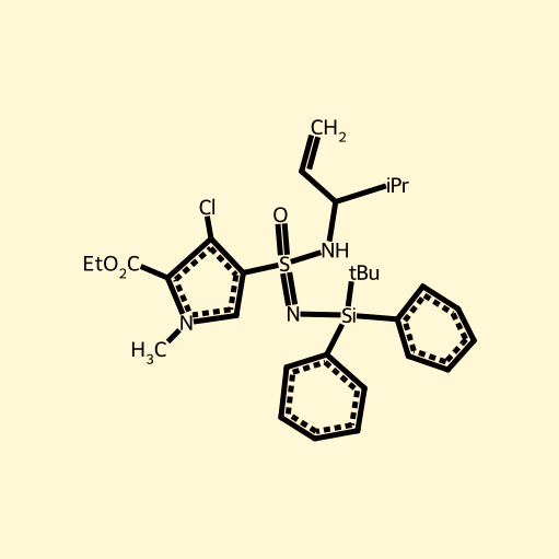 C=CC(NS(=O)(=N[Si](c1ccccc1)(c1ccccc1)C(C)(C)C)c1cn(C)c(C(=O)OCC)c1Cl)C(C)C